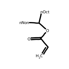 C=CC(=O)OC(CCCCCCCC)CCCCCCCCC